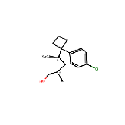 CN[C@H](C[C@@H](C)CO)C1(c2ccc(Cl)cc2)CCC1